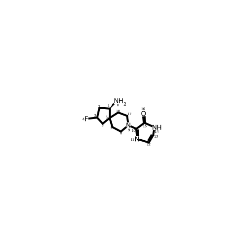 N[C@@H]1CC(F)CC12CCN(c1nc[c][nH]c1=O)CC2